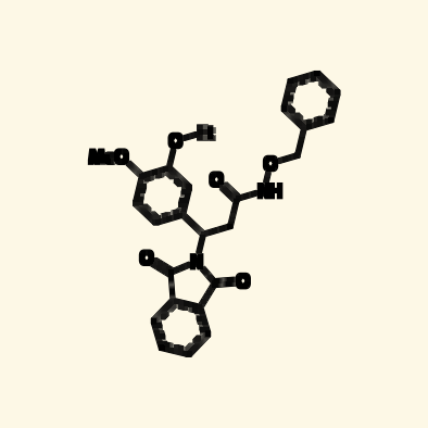 CCOc1cc(C(CC(=O)NOCc2ccccc2)N2C(=O)c3ccccc3C2=O)ccc1OC